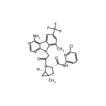 Cc1cc(C(F)(F)F)cc2c3c(N)ncnc3n(CC(=O)N3[C@H](C(=O)Nc4cccc(Cl)n4)C[C@@]4(C)C[C@@H]34)c12